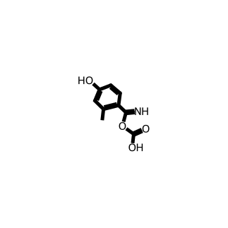 Cc1cc(O)ccc1C(=N)OC(=O)O